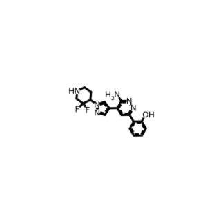 Nc1nnc(-c2ccccc2O)cc1-c1cnn(C2CCNCC2(F)F)c1